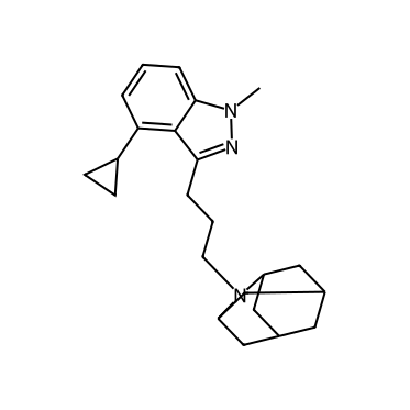 Cn1nc(CCCN2C3CC4CC(C3)CC2C4)c2c(C3CC3)cccc21